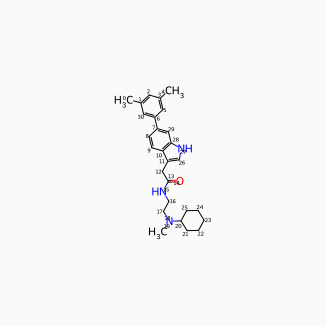 Cc1cc(C)cc(-c2ccc3c(CC(=O)NCCN(C)C4CCCCC4)c[nH]c3c2)c1